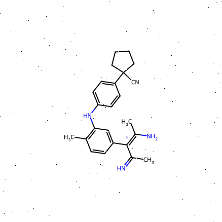 CC(=N)/C(=C(/C)N)c1ccc(C)c(Nc2ccc(C3(C#N)CCCC3)cc2)c1